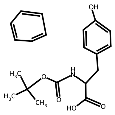 CC(C)(C)OC(=O)NC(Cc1ccc(O)cc1)C(=O)O.c1ccccc1